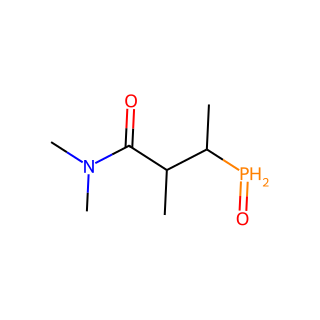 CC([PH2]=O)C(C)C(=O)N(C)C